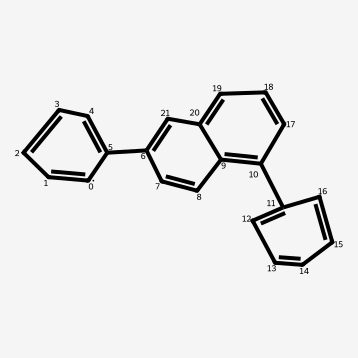 [c]1ccccc1-c1ccc2c(-c3ccccc3)cccc2c1